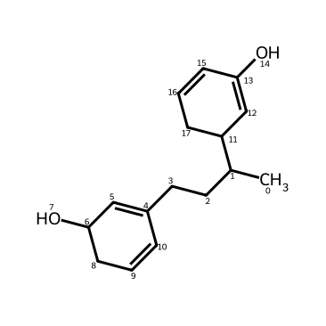 CC(CCC1=CC(O)CC=C1)C1C=C(O)C=CC1